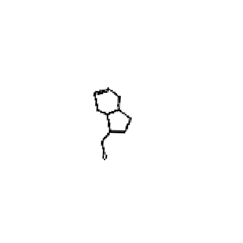 OCC1CCC2CC=CCC12